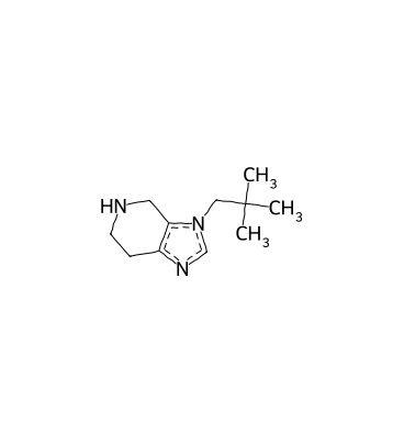 CC(C)(C)Cn1cnc2c1CNCC2